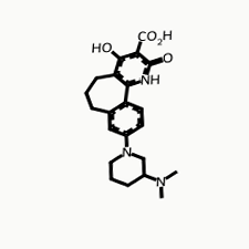 CN(C)C1CCCN(c2ccc3c(c2)CCCc2c-3[nH]c(=O)c(C(=O)O)c2O)C1